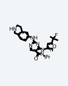 CC(C)n1c(=O)c2cnc(Nc3ccc4c(c3)CCNC4)nc2n1-c1cc(C(C)(C)F)on1